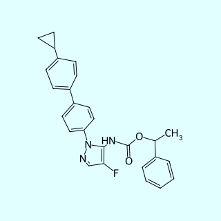 CC(OC(=O)Nc1c(F)cnn1-c1ccc(-c2ccc(C3CC3)cc2)cc1)c1ccccc1